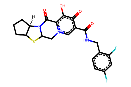 O=C(NCc1ccc(F)cc1F)c1cn2c(c(O)c1=O)C(=O)N1C(C2)SC2CCC[C@H]21